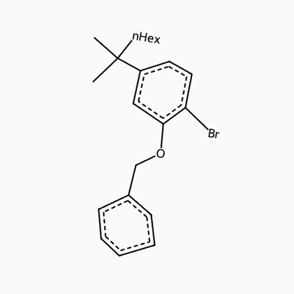 CCCCCCC(C)(C)c1ccc(Br)c(OCc2ccccc2)c1